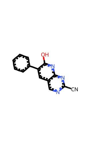 N#Cc1ncc2cc(-c3ccccc3)c(O)nc2n1